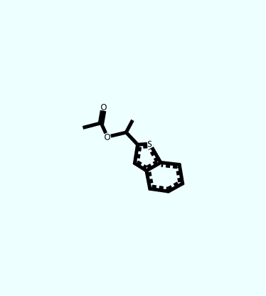 CC(=O)OC(C)c1cc2ccccc2s1